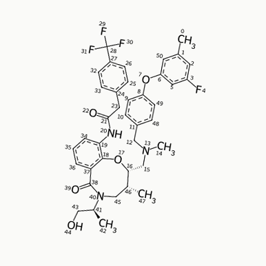 Cc1cc(F)cc(Oc2ccc(CN(C)C[C@H]3Oc4c(NC(=O)Cc5ccc(C(F)(F)F)cc5)cccc4C(=O)N([C@@H](C)CO)C[C@H]3C)cc2)c1